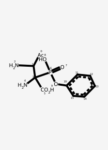 CC(=O)C(N)C(N)(C(=O)O)P(=O)(O)Oc1ccccc1